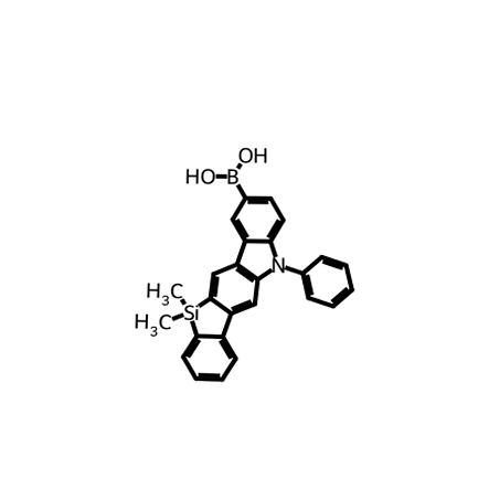 C[Si]1(C)c2ccccc2-c2cc3c(cc21)c1cc(B(O)O)ccc1n3-c1ccccc1